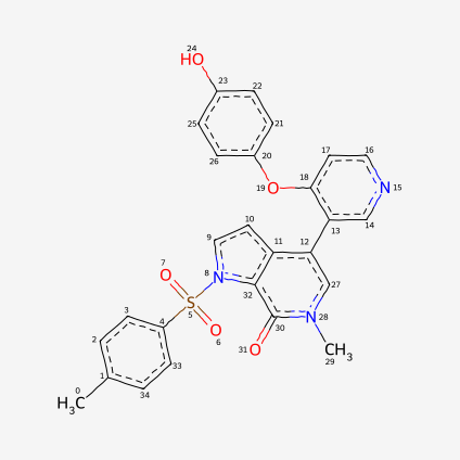 Cc1ccc(S(=O)(=O)n2ccc3c(-c4cnccc4Oc4ccc(O)cc4)cn(C)c(=O)c32)cc1